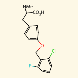 CN[C@H](Cc1ccc(OCc2c(F)cccc2Cl)cc1)C(=O)O